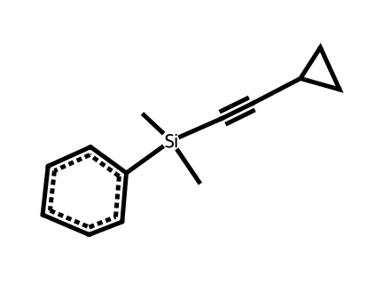 C[Si](C)(C#CC1CC1)c1ccccc1